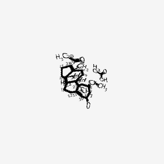 CC(=O)O.COC1CC(=O)C=C2CC[C@H]3[C@@H]4CC[C@H](C(C)=O)[C@@]4(C)CC[C@@H]3[C@]21C